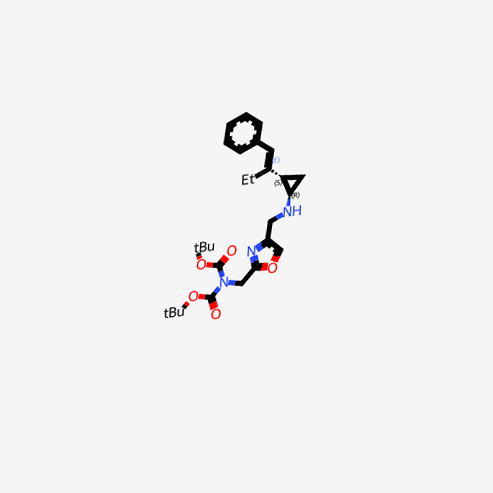 CC/C(=C\c1ccccc1)[C@@H]1C[C@H]1NCc1coc(CN(C(=O)OC(C)(C)C)C(=O)OC(C)(C)C)n1